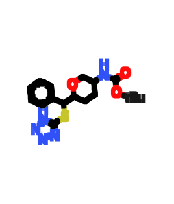 CC(C)(C)OC(=O)NC1CCC(C(Sc2nnn[nH]2)c2ccccc2)OC1